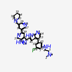 CN(C)CCNc1cc(F)cc(-c2ccnc3[nH]c(-c4n[nH]c5cnc(-c6cncc(CN7CCCCC7)c6)cc45)cc23)c1